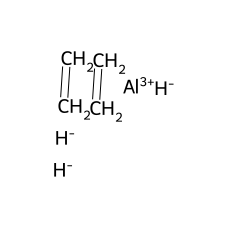 C=C.C=C.[Al+3].[H-].[H-].[H-]